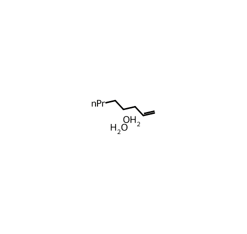 C=CCCCCCC.O.O